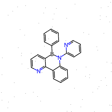 c1ccc(B2c3cccnc3-c3ccccc3N2c2ccccn2)cc1